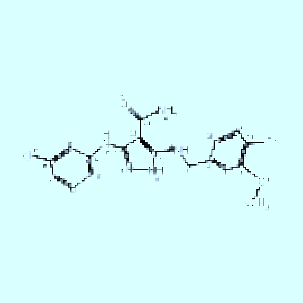 COc1cc(CNc2[nH]nc(Nc3cccc(Cl)c3)c2C(N)=O)ccc1F